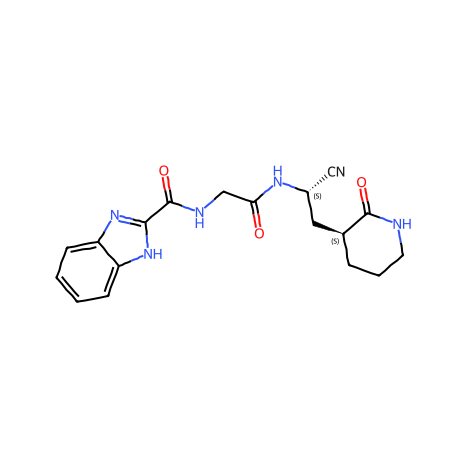 N#C[C@H](C[C@@H]1CCCNC1=O)NC(=O)CNC(=O)c1nc2ccccc2[nH]1